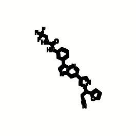 N#CCC(c1ccco1)n1cc(-c2cnn3c(-c4cccc(NC(=O)NCC(F)(F)F)c4)cnc3c2)cn1